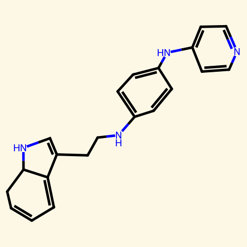 C1=CCC2NC=C(CCNc3ccc(Nc4ccncc4)cc3)C2=C1